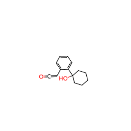 O=C=Cc1ccccc1C1(O)CCCCC1